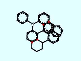 c1ccc(N(c2ccccc2-c2cccc3cccc(C4CCCCC4)c23)c2cccc3c2sc2ccccc23)cc1